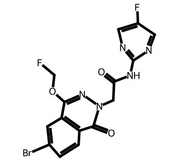 O=C(Cn1nc(OCF)c2cc(Br)ccc2c1=O)Nc1ncc(F)cn1